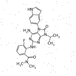 CC(C)n1c(=O)n(-c2ccc3[nH]ccc3c2)c2c(N)nc(Nc3c(F)cccc3C(=O)N(C)C)nc21